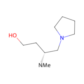 CN[C@H](CCO)CN1CCCC1